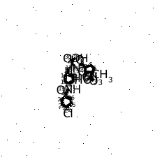 CC1(C(=O)O)CCC(C(=O)N[C@@H](Cc2ccc(NC(=O)c3ccc(Cl)cc3)cc2)C(=O)O)C1(C)C